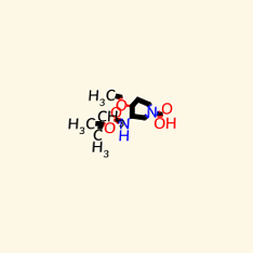 CCO[C@H]1CCN(C(=O)O)C[C@@H]1NC(=O)OC(C)(C)C